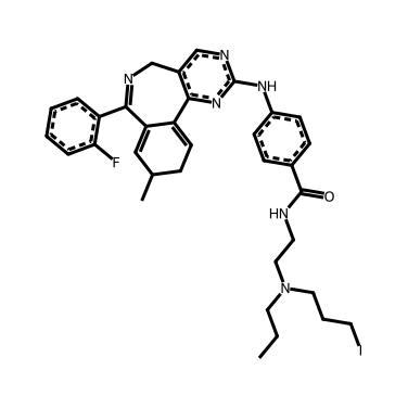 CCCN(CCCI)CCNC(=O)c1ccc(Nc2ncc3c(n2)C2=CCC(C)C=C2C(c2ccccc2F)=NC3)cc1